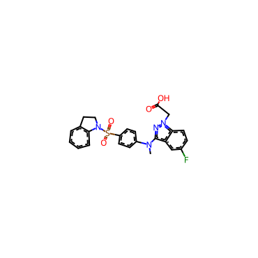 CN(c1ccc(S(=O)(=O)N2CCc3ccccc32)cc1)c1nn(CC(=O)O)c2ccc(F)cc12